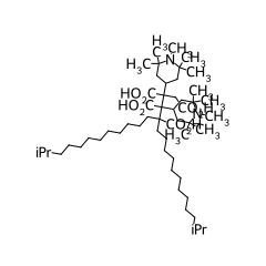 CC(C)CCCCCCCCCCC(CCCCCCCCCCC(C)C)(C(=O)O)C(C(=O)O)(C1CC(C)(C)N(C)C(C)(C)C1)C(CC(=O)O)(C(=O)O)C1CC(C)(C)N(C)C(C)(C)C1